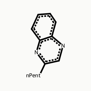 CCCCCc1cnc2ccccc2n1